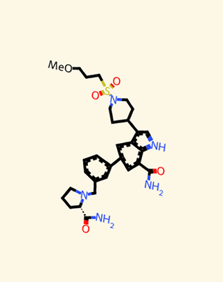 COCCCS(=O)(=O)N1CCC(c2c[nH]c3c(C(N)=O)cc(-c4cccc(CN5CCC[C@H]5C(N)=O)c4)cc23)CC1